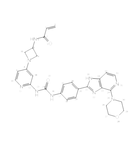 C=CC(=O)NC1CN(c2ccnc(NC(=O)Nc3ccc(-c4nc5c(N6CCOCC6)nccc5[nH]4)cc3)c2)C1